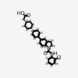 O=C(O)C[C@H]1CC[C@H](c2ccc(-c3ccc4c(c3)CCN4C(=O)Nc3ccccc3Cl)cc2)CC1